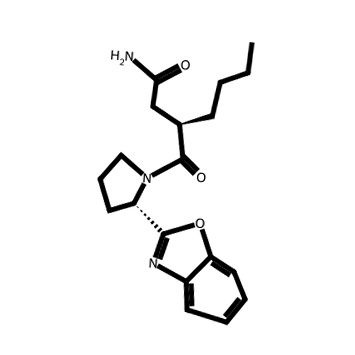 CCCC[C@H](CC(N)=O)C(=O)N1CCC[C@H]1c1nc2ccccc2o1